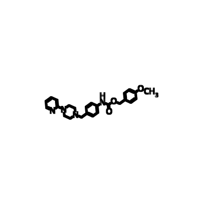 COc1ccc(COC(=O)Nc2ccc(CN3CCN(c4ccccn4)CC3)cc2)cc1